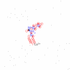 NC(N)=O.O.O.O.O.O.O.O=[N+]([O-])[O-].O=[N+]([O-])[O-].O=[N+]([O-])[O-].[La+3]